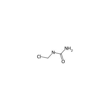 NC(=O)[N]CCl